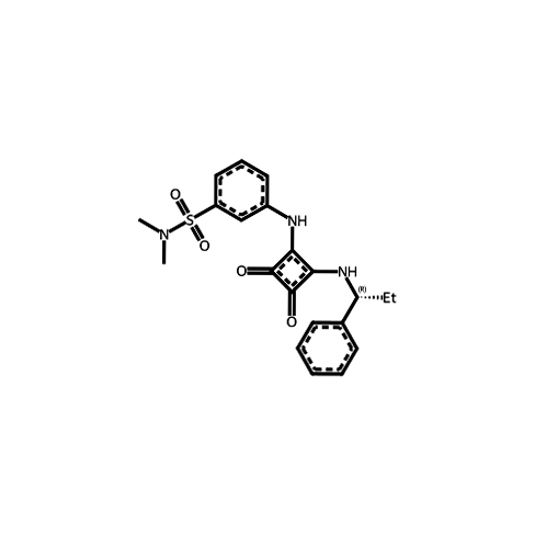 CC[C@@H](Nc1c(Nc2cccc(S(=O)(=O)N(C)C)c2)c(=O)c1=O)c1ccccc1